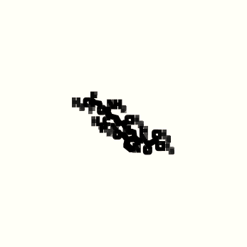 CC(/C=C(\N)C(C)N1Cc2c(ccnc2NC(=O)C(C)C)C1=O)=C(/N)OCC(C)(F)F